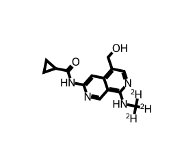 [2H]C([2H])([2H])Nc1ncc(CO)c2cc(NC(=O)C3CC3)ncc12